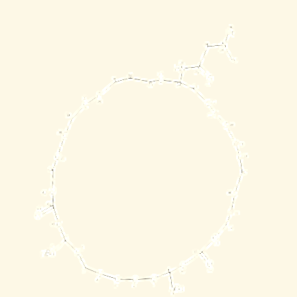 CCCCC1CCCCCCC(CCCC)CC(=O)OCCCCCCCCCCC(NC(=O)CN(C)CC)CCCCCCCCCCOC(=O)C1